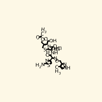 CC(=O)OCC1=C(C(=O)O)N2C(=O)[C@@H](NC(=O)C(=NOCc3n[nH]cc3C)c3csc(N)n3)[C@@H]2SC1.Cl.Cl